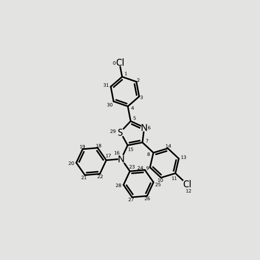 Clc1ccc(-c2nc(-c3ccc(Cl)cc3)c(N(c3ccccc3)c3ccccc3)s2)cc1